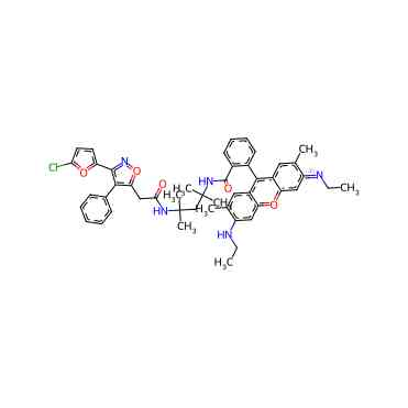 CC/N=c1\cc2oc3cc(NCC)c(C)cc3c(-c3ccccc3C(=O)NC(C)(C)CC(C)(C)NC(=O)Cc3onc(-c4ccc(Cl)o4)c3-c3ccccc3)c-2cc1C